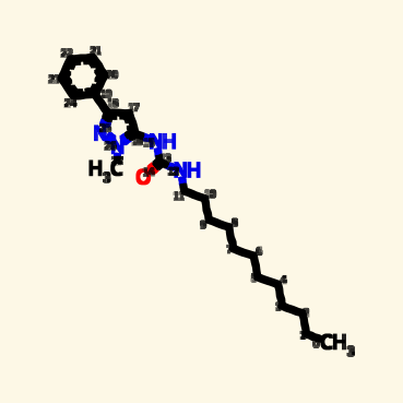 CCCCCCCCCCCCNC(=O)Nc1cc(-c2ccccc2)nn1C